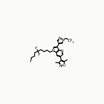 Cc1noc(C)c1-c1cnc2c(-c3cnn(CC(F)(F)F)c3)cn(CCCCC(F)(F)CCCF)c2c1